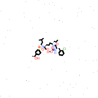 CCC[C@@H](CCC[C@@H](CO)N(CCC(C)C)S(=O)(=O)c1ccc([C@H](C)O)cc1)NC(=O)[C@H](Cc1ccccc1Cl)NC(=O)OC